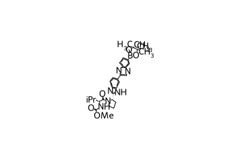 COC(=O)N[C@H](C(=O)N1CCC[C@H]1c1nc2ccc(-c3cnc4cc(B5OC(C)(C)C(C)(C)O5)ccc4n3)cc2[nH]1)C(C)C